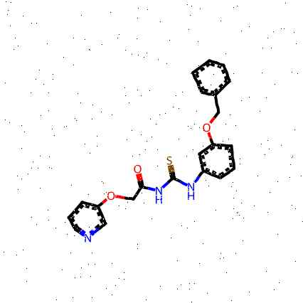 O=C(COc1cccnc1)NC(=S)Nc1cccc(OCc2ccccc2)c1